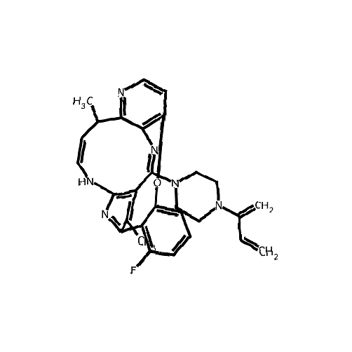 C=CC(=C)N1CCN(/C2=N/c3c4ccnc3C(C)/C=C\Nc3nc(c(C)cc32)-c2c(F)cccc2O4)CC1